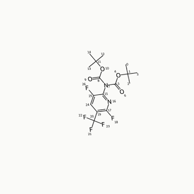 CC(C)(C)OC(=O)N(C(=O)OC(C)(C)C)c1nc(F)c(C(F)(F)F)cc1F